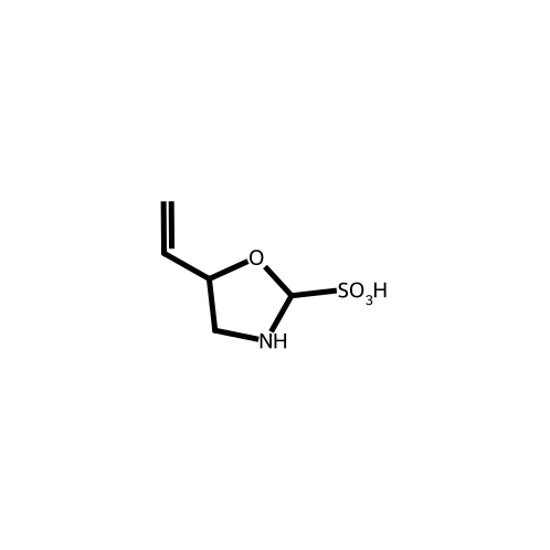 C=CC1CNC(S(=O)(=O)O)O1